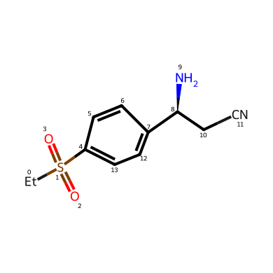 CCS(=O)(=O)c1ccc([C@@H](N)CC#N)cc1